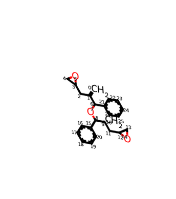 C=C(CC1CO1)C(OC(C(=C)CC1CO1)c1ccccc1)c1ccccc1